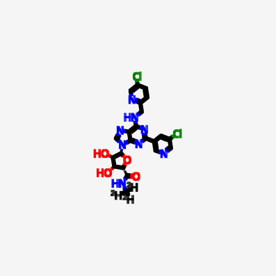 [2H]C([2H])([2H])NC(=O)[C@H]1O[C@@H](n2cnc3c(NCc4ccc(Cl)cn4)nc(-c4cncc(Cl)c4)nc32)[C@H](O)[C@@H]1O